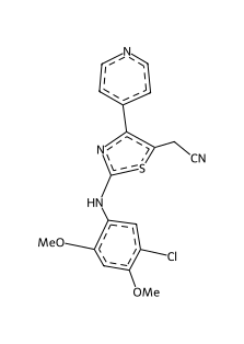 COc1cc(OC)c(Nc2nc(-c3ccncc3)c(CC#N)s2)cc1Cl